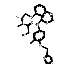 Cc1cc(Nc2ncnc3cccc(OC[C@@H](C)N(C)C(=O)CO)c23)ccc1OCc1cscn1